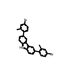 Cc1cc(Br)ccc1-c1ccc2[nH]c3ccc(-c4ccc(Br)cc4C)cc3c2c1